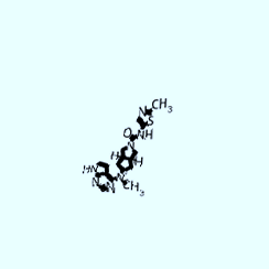 Cc1ncc(NC(=O)N2C[C@H]3C[C@@H](N(C)c4ncnc5[nH]ccc45)C[C@H]3C2)s1